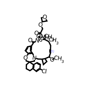 COC1/C=C/CC(C)C(C)S(=O)(NC(=O)COC2COC2)=NC(=O)c2ccc3c(c2)N(CC2CCC21)CC1(CCCc2cc(Cl)ccc21)CO3